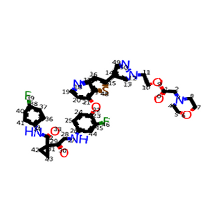 O=C(CN1CCOCC1)OCCn1cc(-c2cc3nccc(Oc4ccc(NCC(=O)C5(C(=O)Nc6ccc(F)cc6)CC5)cc4F)c3s2)cn1